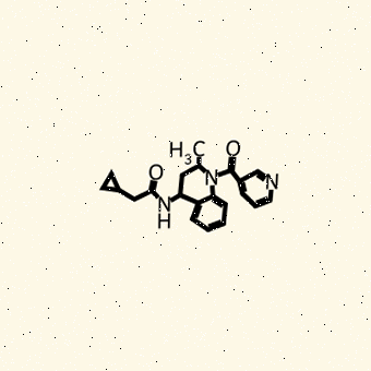 CC1CC(NC(=O)CC2CC2)c2ccccc2N1C(=O)c1cccnc1